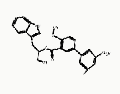 CCCOc1ccc(-c2cc(F)cc(C(=O)O)c2)cc1C(=O)N[C@@H](CO)Cc1c[nH]c2ccccc12